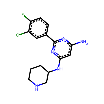 Nc1cc(NC2CCCNC2)nc(-c2ccc(F)c(Cl)c2)n1